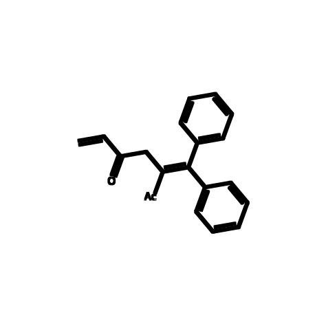 C=CC(=O)CC(C(C)=O)=C(c1ccccc1)c1ccccc1